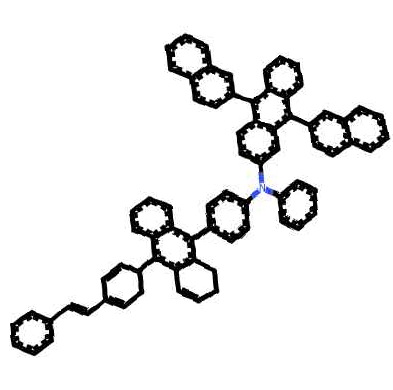 C1=Cc2c(c(-c3ccc(N(c4ccccc4)c4ccc5c(-c6ccc7ccccc7c6)c6ccccc6c(-c6ccc7ccccc7c6)c5c4)cc3)c3ccccc3c2C2C=CC(/C=C/c3ccccc3)=CC2)CC1